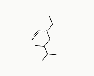 CCN([C]=S)CC(C)C(C)C